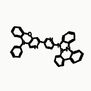 c1ccc(B2c3ccccc3Oc3cc(-c4ccc(N5B6c7ccccc7-c7ccccc7N6c6ccccc65)nc4)ncc32)cc1